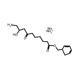 N.N.NCC(O)CC(=O)CCCCCC(=O)OCC1C=CC=CC1